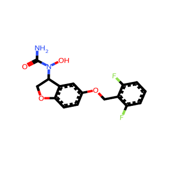 NC(=O)N(O)C1COc2ccc(OCc3c(F)cccc3F)cc21